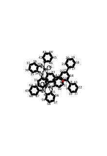 O=P1(c2cc(-c3cc(-c4ccccc4)cc(-c4ccccc4)c3)cc(P3(=O)N(c4ccccc4)c4ccccc4N3c3ccccc3)c2)N(c2ccccc2)c2ccccc2N1c1ccccc1